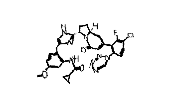 COc1ccc(-c2c[nH]c([C@@H]3CC[C@H]4CC(c5c(-n6cnnn6)ccc(Cl)c5F)=CC(=O)N43)n2)c(NC(=O)C2CC2)c1